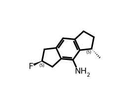 C[C@H]1CCc2cc3c(c(N)c21)C[C@@H](F)C3